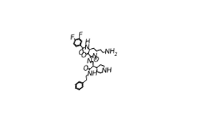 NCCCCC(NC(=O)c1ccc(F)c(F)c1)C(=O)c1noc(C(C(=O)NCCc2ccccc2)C2CCNCC2)n1